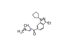 CCc1nn(C2CCCC2)c2cc(C(=O)/C=C/N(C)C)ccc12